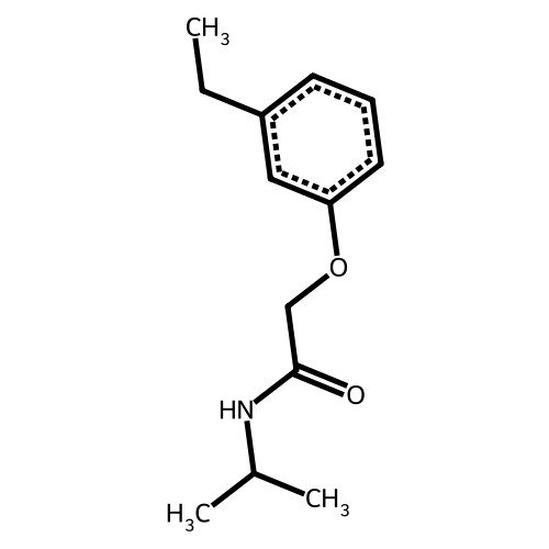 CCc1cccc(OCC(=O)NC(C)C)c1